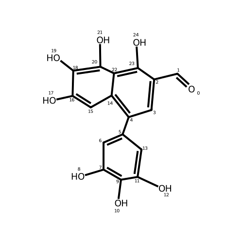 O=Cc1cc(-c2cc(O)c(O)c(O)c2)c2cc(O)c(O)c(O)c2c1O